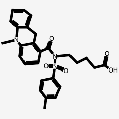 Cc1ccc(S(=O)(=O)N(CCCCC(=O)O)C(=O)c2cccc3c2Cc2ccccc2N3C)cc1